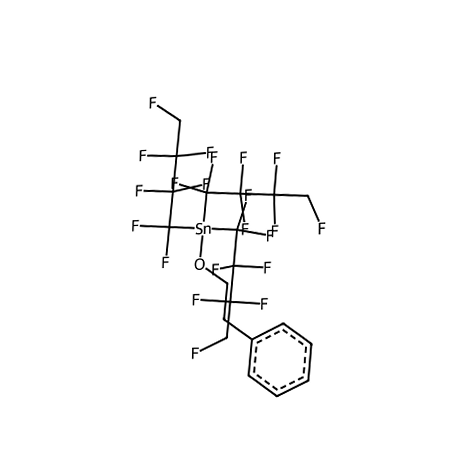 FCC(F)(F)C(F)(F)[C](F)(F)[Sn]([O]CCc1ccccc1)([C](F)(F)C(F)(F)C(F)(F)CF)[C](F)(F)C(F)(F)C(F)(F)CF